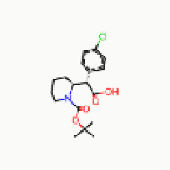 CC(C)(C)OC(=O)N1CCCC[C@H]1[C@@H](C(=O)O)c1ccc(Cl)cc1